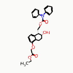 CCOC(=O)COc1cccc2c1CC[C@@H](O)[C@H]2CCOC(=O)N(c1ccccc1)c1ccccc1